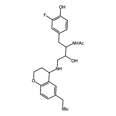 CC(=O)NC(Cc1ccc(O)c(F)c1)C(O)CNC1CCOc2ccc(CC(C)(C)C)cc21